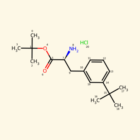 CC(C)(C)OC(=O)[C@@H](N)Cc1cccc(C(C)(C)C)c1.Cl